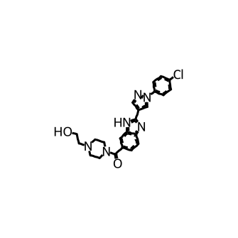 O=C(c1ccc2nc(-c3cnn(-c4ccc(Cl)cc4)c3)[nH]c2c1)N1CCN(CCO)CC1